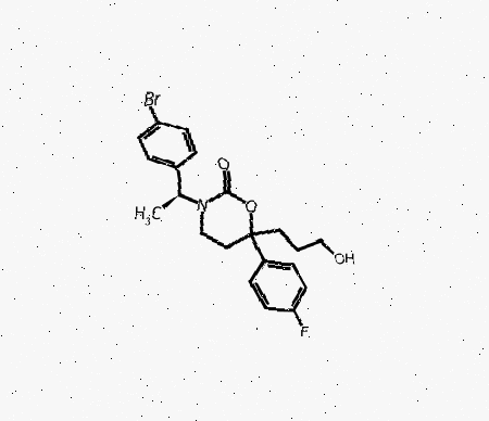 C[C@@H](c1ccc(Br)cc1)N1CCC(CCCO)(c2ccc(F)cc2)OC1=O